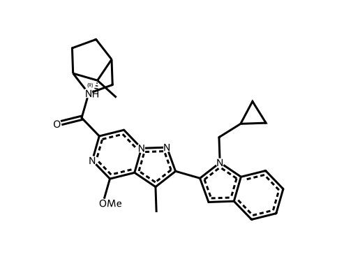 COc1nc(C(=O)N2CC3CCC2[C@@H]3C)cn2nc(-c3cc4ccccc4n3CC3CC3)c(C)c12